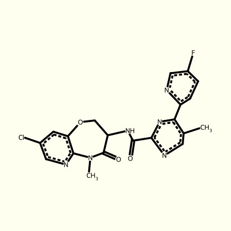 Cc1cnc(C(=O)NC2COc3cc(Cl)cnc3N(C)C2=O)nc1-c1ccc(F)cn1